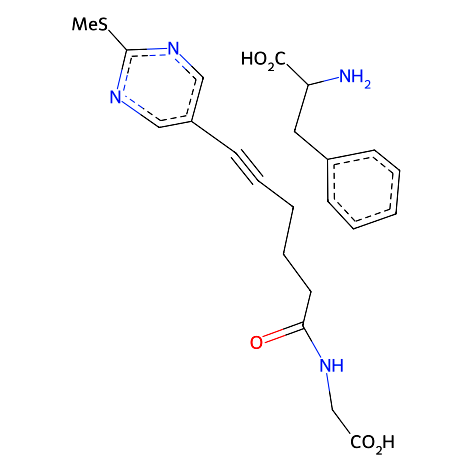 CSc1ncc(C#CCCCC(=O)NCC(=O)O)cn1.NC(Cc1ccccc1)C(=O)O